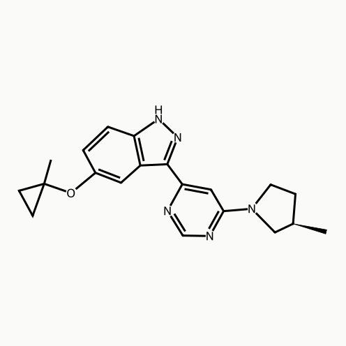 C[C@@H]1CCN(c2cc(-c3n[nH]c4ccc(OC5(C)CC5)cc34)ncn2)C1